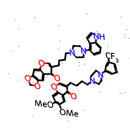 COc1cc2occ(CCCCN3CCN(c4cccc(C(F)(F)F)c4)CC3)c(=O)c2cc1OC.O=c1c(CCCCN2CCN(c3cccc4[nH]ccc34)CC2)coc2cc3c(cc12)OCO3